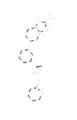 Nc1nc2ccc(-c3cccc(C(=O)NCc4ccccn4)c3)cc2[nH]1